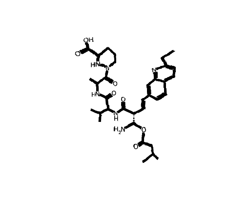 CCc1ccc2ccc(/C=C/[C@@H](C(=O)NC(C(=O)NC(C)C(=O)N3CCCC(C(=O)O)N3)C(C)C)C(N)OC(=O)CC(C)C)cc2n1